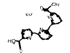 O=C(O)c1cccc(-c2cccc(-c3cccc(C(=O)O)n3)n2)n1.[Eu]